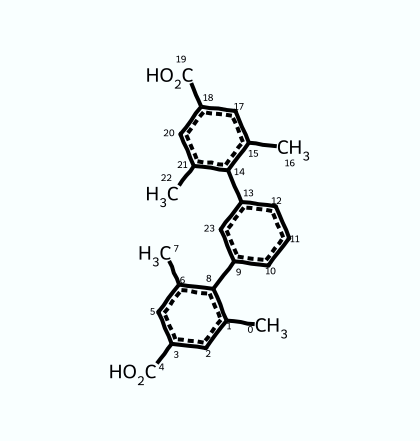 Cc1cc(C(=O)O)cc(C)c1-c1cccc(-c2c(C)cc(C(=O)O)cc2C)c1